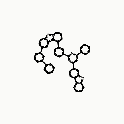 c1ccc(-c2cccc(-c3ccc4oc5cccc(-c6cccc(-c7nc(-c8ccccc8)nc(-c8ccc9c(c8)oc8ccccc89)n7)c6)c5c4c3)c2)cc1